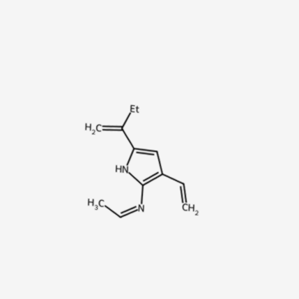 C=Cc1cc(C(=C)CC)[nH]c1/N=C\C